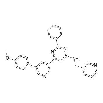 COc1ccc(-c2cncc(-c3cc(NCc4cccnc4)nc(-c4ccccc4)n3)c2)cc1